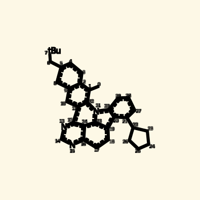 Cc1c2ccc(CC(C)(C)C)cc2cc2c3ncnc4ccc5c6c(C7CCCC7)cccc6n(c12)c5c43